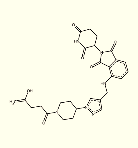 C=C(O)CCC(=O)N1CCC(n2cc(CNc3cccc4c3C(=O)N(C3CCC(=O)NC3=O)C4=O)cn2)CC1